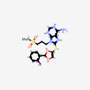 CNS(=O)(=O)CCCn1c(SC2=COC(c3ccccc3I)O2)nc2c(N)ncnc21